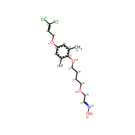 CCc1cc(OCC=C(Cl)Cl)cc(C)c1OCCCCOCC=NO